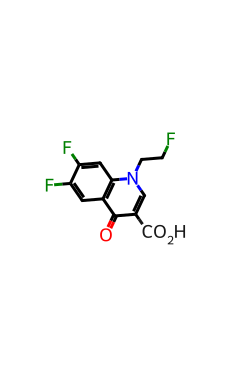 O=C(O)c1cn(CCF)c2cc(F)c(F)cc2c1=O